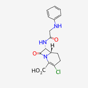 O=C(CNc1ccccc1)N[C@H]1C(=O)N2C(C(=O)O)=C(Cl)CC[C@@H]12